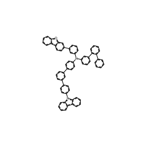 c1ccc(-c2ccccc2-c2cccc(N(c3ccc(-c4cccc(-c5ccc(-n6c7ccccc7c7ccccc76)cc5)c4)cc3)c3cccc(-c4ccc5c(c4)oc4ccccc45)c3)c2)cc1